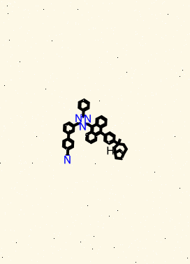 CC1(c2ccc(-c3c4ccccc4c(-c4nc(-c5ccccc5)nc(-c5cccc(-c6ccc(C#N)cc6)c5)n4)c4ccccc34)cc2)CCC2CC[C@@H](C2)C1